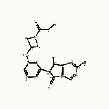 CCC(=O)N1CC(Nc2cncc(N3C(=O)c4ccc(Cl)cc4C3C)c2)C1